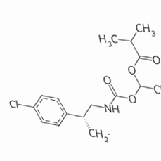 [CH2][C@@H](CNC(=O)OC(C)OC(=O)C(C)C)c1ccc(Cl)cc1